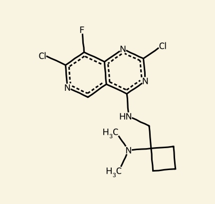 CN(C)C1(CNc2nc(Cl)nc3c(F)c(Cl)ncc23)CCC1